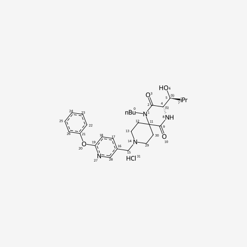 CCCCN1C(=O)[C@H]([C@@H](O)C(C)C)NC(=O)C12CCN(Cc1ccc(Oc3ccccc3)nc1)CC2.Cl